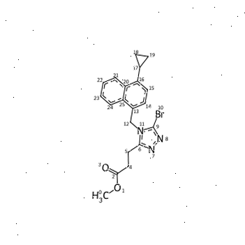 COC(=O)CCc1nnc(Br)n1Cc1ccc(C2CC2)c2ccccc12